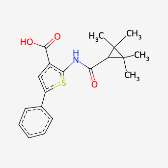 CC1(C)C(C(=O)Nc2sc(-c3ccccc3)cc2C(=O)O)C1(C)C